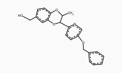 CC1Oc2ccc(CO)cc2OC1c1ccc(OCc2ccccc2)cn1